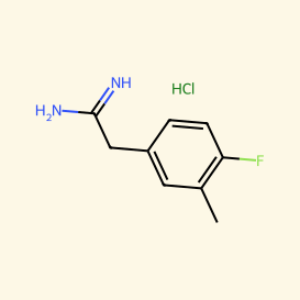 Cc1cc(CC(=N)N)ccc1F.Cl